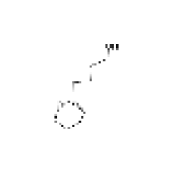 OCCCCC1=CCCCO1